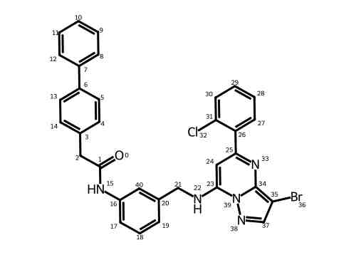 O=C(Cc1ccc(-c2ccccc2)cc1)Nc1cccc(CNc2cc(-c3ccccc3Cl)nc3c(Br)cnn23)c1